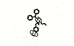 CCCN1CCN(C(c2ccccc2)c2ccccc2)CC1(C)Cc1ccc2c(c1)OCCO2